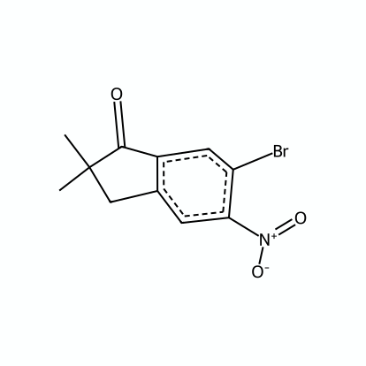 CC1(C)Cc2cc([N+](=O)[O-])c(Br)cc2C1=O